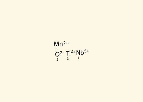 [Mn+2].[Nb+5].[O-2].[Ti+4]